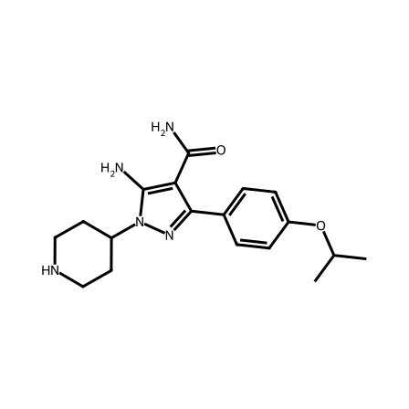 CC(C)Oc1ccc(-c2nn(C3CCNCC3)c(N)c2C(N)=O)cc1